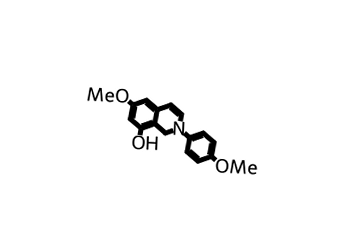 COc1ccc(N2C=Cc3cc(OC)cc(O)c3C2)cc1